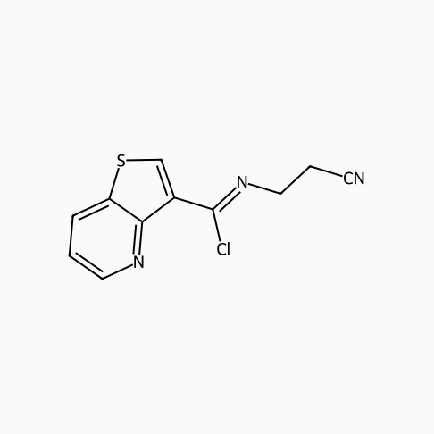 N#CCCN=C(Cl)c1csc2cccnc12